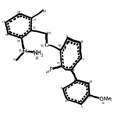 COc1cccc(-c2cccc(OCc3c(C)cccc3N(C)N)c2F)c1